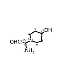 N[C@H](C=O)N1CCC(O)CC1